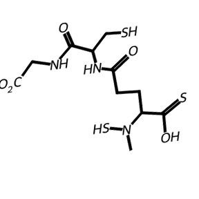 CN(S)C(CCC(=O)NC(CS)C(=O)NCC(=O)O)C(O)=S